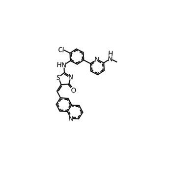 CNc1cccc(-c2ccc(Cl)c(NC3=NC(=O)C(=Cc4ccc5ncccc5c4)S3)c2)n1